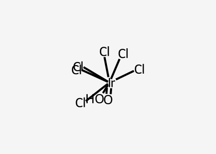 [O]=[Ir]([OH])([Cl])([Cl])([Cl])([Cl])([Cl])[Cl]